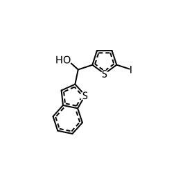 OC(c1ccc(I)s1)c1cc2ccccc2s1